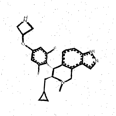 CN1Cc2c(ccc3[nH]ncc23)[C@@H](c2c(F)cc(OC3CNC3)cc2F)[C@@H]1CC1CC1